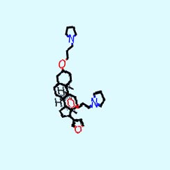 C[C@]12CCC(OCCCN3CCCC3)CC1CC[C@@H]1[C@H]2CC[C@]2(C)C(c3ccoc3)CC[C@@]12OCCCN1CCCC1